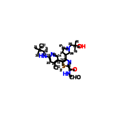 C[C@H]1CC(c2nc(C(=O)NC=O)sc2-c2cnc(NCC(C)(C)C(F)(F)F)cc2C(F)(F)F)CN1CC(C)(C)O